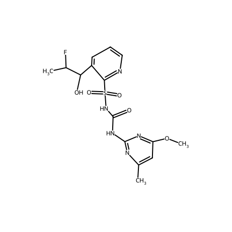 COc1cc(C)nc(NC(=O)NS(=O)(=O)c2ncccc2C(O)C(C)F)n1